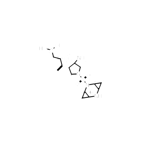 C=C(CCB(O)O)[C@H]1CN(S(=O)(=O)N2C3CC3NC3C[C@H]32)C[C@@]1(N)C(=O)O